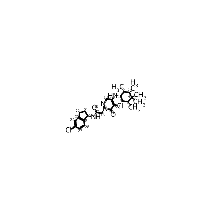 C[C@@H]1[C@@H](C)C(C)(C)[C@@H](C)C[C@H]1Nc1cnn(CC(=O)NC2CCc3cc(Cl)ccc32)c(=O)c1Cl